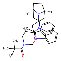 Cc1nc2ccccc2n1[C@H]1C[C@H]2CC[C@@H](C1)N2CCC1(c2ccccc2)CCN(C(=O)C(C)(C)C)CO1